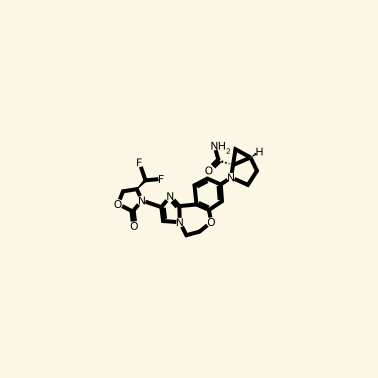 NC(=O)[C@]12C[C@H]1CCN2c1ccc2c(c1)OCCn1cc(N3C(=O)OC[C@H]3C(F)F)nc1-2